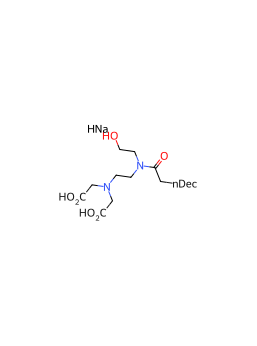 CCCCCCCCCCCC(=O)N(CCO)CCN(CC(=O)O)CC(=O)O.[NaH]